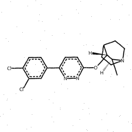 C[C@H]1[C@H](Oc2ccc(-c3ccc(Cl)c(Cl)c3)nn2)C2CCN1CC2